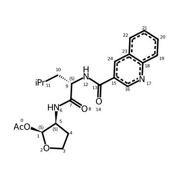 CC(=O)O[C@@H]1OCC[C@@H]1NC(=O)[C@H](CC(C)C)NC(=O)c1cnc2ccccc2c1